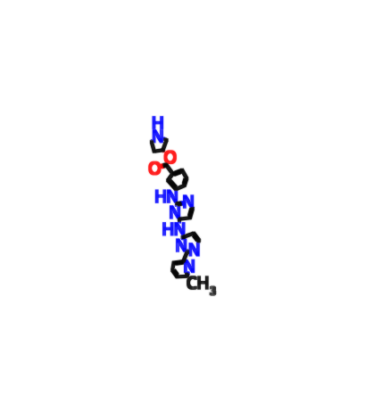 Cc1cccc(-c2nccc(Nc3ccnc(Nc4cccc(C(=O)O[C@H]5CCNC5)c4)n3)n2)n1